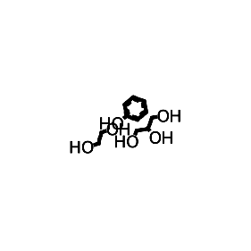 OCC(O)CO.OCCO.Oc1ccccc1